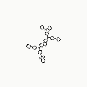 C1=CC(N(c2ccc3c(ccc4cc(N(c5ccc(-c6ccccc6)cc5)c5ccc(-c6nc7ccccc7o6)cc5)ccc43)c2)c2ccc3c(c2)c2ccccc2n3-c2ccccc2)CC=C1c1ccccc1